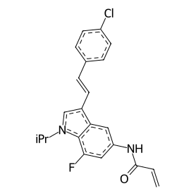 C=CC(=O)Nc1cc(F)c2c(c1)c(C=Cc1ccc(Cl)cc1)cn2C(C)C